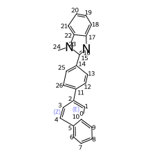 C/C=C(\C=C/c1ccccc1)c1ccc(-c2nc3ccccc3n2C)cc1